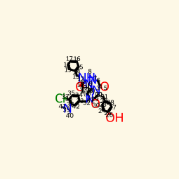 C[C@@H]1[C@H]2N(C(=O)CN(C)N2C(=O)NCc2ccccc2)[C@@H](Cc2ccc(O)cc2)C(=O)N1Cc1ccc(Cl)c(N(C)C)c1